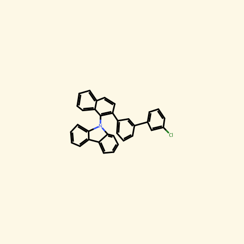 Clc1cccc(-c2cccc(-c3ccc4ccccc4c3-n3c4ccccc4c4ccccc43)c2)c1